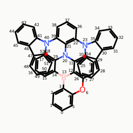 c1ccc2c(c1)Oc1cccc3c1B2c1ccccc1N3c1c(-n2c3ccccc3c3ccccc32)cccc1-n1c2ccccc2c2ccccc21